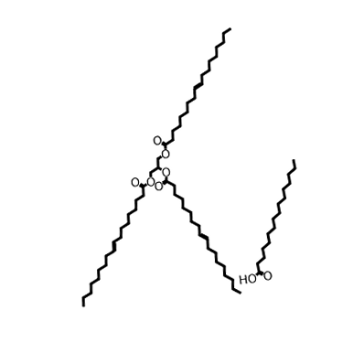 CCCCCCCC/C=C/CCCCCCCC(=O)OCC(COC(=O)CCCCCCC/C=C/CCCCCCCC)OC(=O)CCCCCCC/C=C/CCCCCCCC.CCCCCCCCCCCCCCCC(=O)O